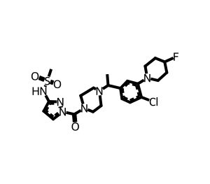 CC(c1ccc(Cl)c(N2CCC(F)CC2)c1)N1CCN(C(=O)n2ccc(NS(C)(=O)=O)n2)CC1